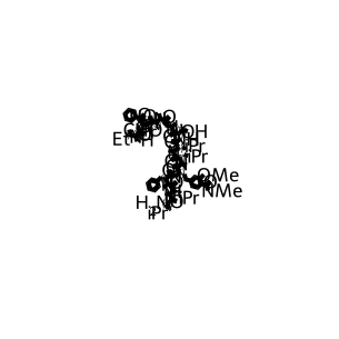 CC[C@@H](C=O)N(C)C(=O)C[C@H](NC(=O)[C@H](CC(C)C)N(C)C(=O)CN(C)C(=O)[C@@H](NC(=O)[C@H](CC(C)C)N(C)C(=O)[C@H](CC(C)C)N(C)C(=O)[C@H](CCc1ccc(C(=O)NC)c(OC)c1)NC(=O)[C@H](Cc1ccccc1)N(C)C(=O)[C@H](CC(C)C)N(C)C(=O)[C@@H](N)CC(C)C)[C@@H](C)O)C(=O)N1CCCCC1